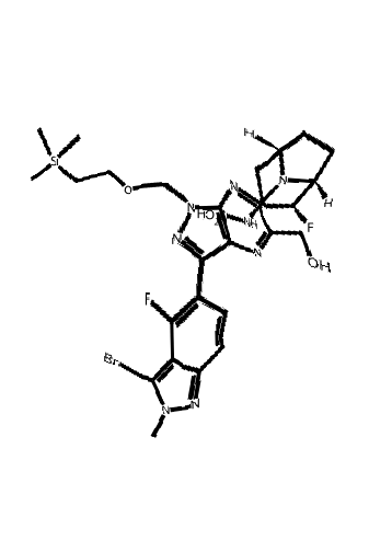 Cn1nc2ccc(-c3nn(COCC[Si](C)(C)C)c4nc(N5[C@H]6CC[C@@H]5[C@@H](F)[C@@H](NC(=O)O)C6)c(CO)nc34)c(F)c2c1Br